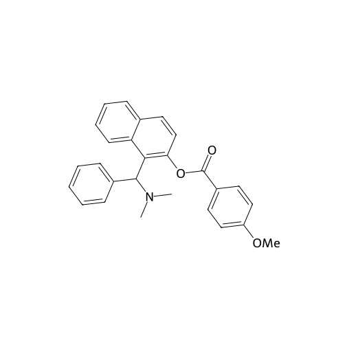 COc1ccc(C(=O)Oc2ccc3ccccc3c2C(c2ccccc2)N(C)C)cc1